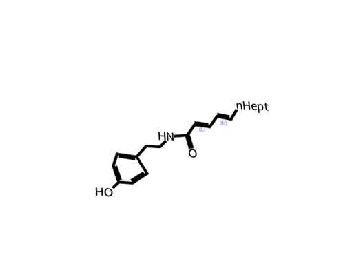 CCCCCCC/C=C/C=C/C(=O)NCCc1ccc(O)cc1